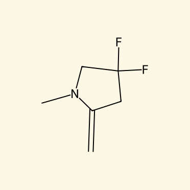 C=C1CC(F)(F)CN1C